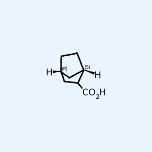 O=C(O)C1C[C@@H]2CC[C@H]1C2